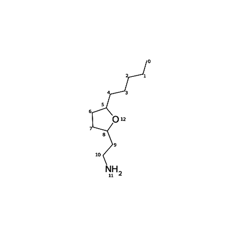 CCCCCC1CCC(CCN)O1